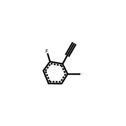 C#Cc1c([CH2])cccc1F